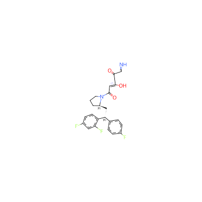 N=CC(=O)/C(O)=C/C(=O)N1CCC[C@@H]1C[C@H](c1ccc(F)cc1)c1ccc(F)cc1F